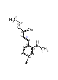 CBc1cc(F)ccc1/C=C/C(=O)OCC